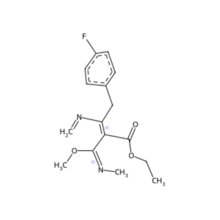 C=N/C(Cc1ccc(F)cc1)=C(C(=O)OCC)\C(=N/C)OC